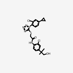 CC(C)(CO)c1ccc(NC(=O)CSc2nnnn2-c2ccc(C3CC3)cc2Cl)c(Cl)c1